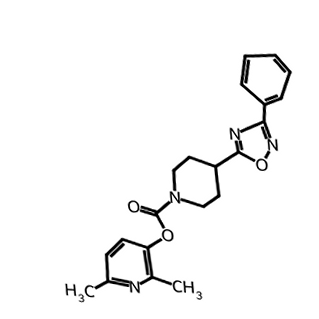 Cc1ccc(OC(=O)N2CCC(c3nc(-c4ccccc4)no3)CC2)c(C)n1